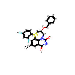 O=c1[nH]c(=O)n2c3c(cc(C(F)(F)F)cc13)[SH](c1ccc(F)cc1F)C[C@@H](OCc1ccccc1)C2